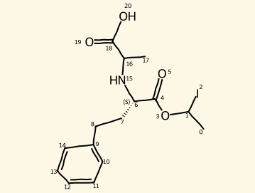 CC(I)OC(=O)[C@H](CCc1ccccc1)NC(C)C(=O)O